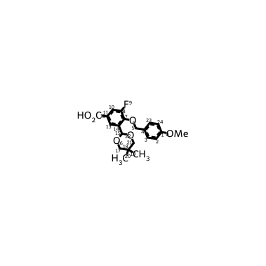 COc1ccc(COc2c(F)cc(C(=O)O)cc2C2OCC(C)(C)CO2)cc1